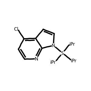 CC(C)S(C(C)C)(C(C)C)n1ccc2c(Cl)ccnc21